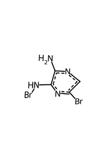 Nc1ncc(Br)nc1NBr